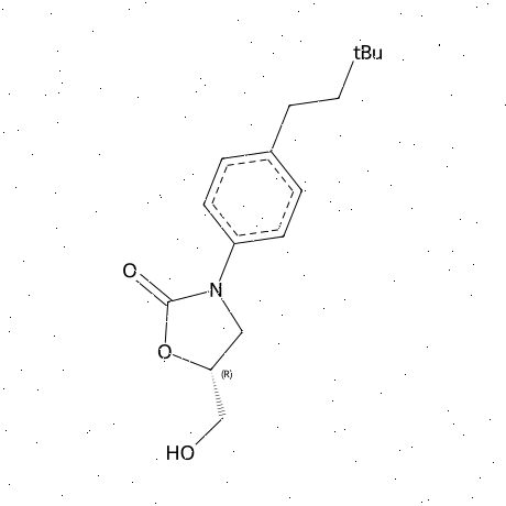 CC(C)(C)CCc1ccc(N2C[C@H](CO)OC2=O)cc1